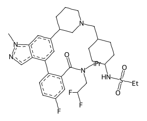 CCS(=O)(=O)NC1CCC(CN2CCCC(c3cc(-c4ccc(F)cc4C(=O)N(CC(F)F)C(C)C)c4cnn(C)c4c3)C2)CC1